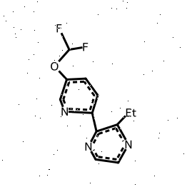 CCc1nccnc1-c1ccc(OC(F)F)cn1